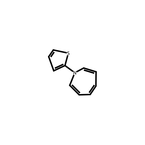 C1=CC=CN(c2cccs2)C=C1